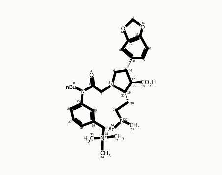 CCCCN(C(=O)CN1C[C@H](c2ccc3c(c2)OCO3)[C@@H](C(=O)O)[C@@H]1CCN(C)C(C)=O)c1cccc(C[N+](C)(C)C)c1